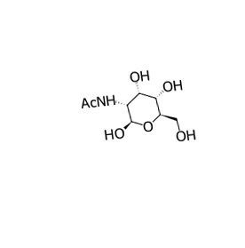 CC(=O)N[C@@H]1[C@H](O)[C@H](O)[C@@H](CO)O[C@H]1O